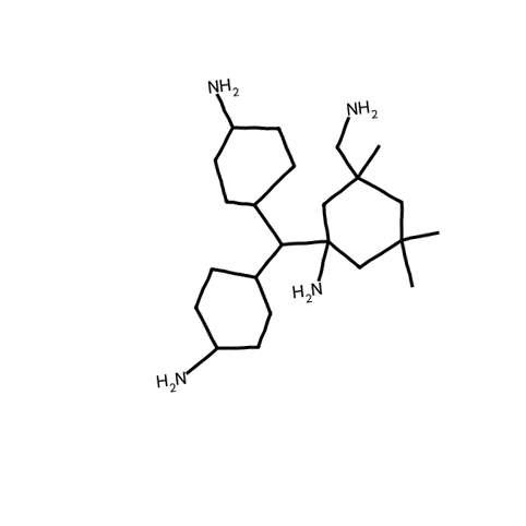 CC1(C)CC(C)(CN)CC(N)(C(C2CCC(N)CC2)C2CCC(N)CC2)C1